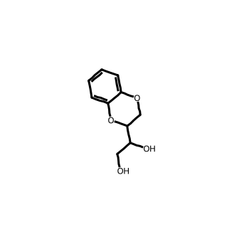 OCC(O)C1COc2ccccc2O1